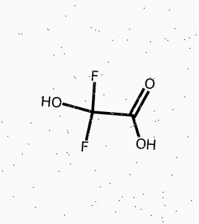 O=C(O)C(O)(F)F